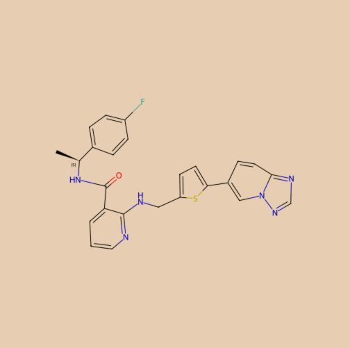 C[C@H](NC(=O)c1cccnc1NCc1ccc(-c2ccc3ncnn3c2)s1)c1ccc(F)cc1